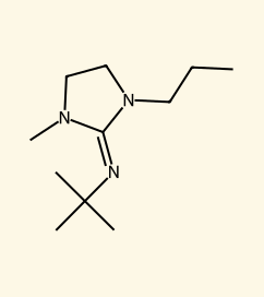 CCCN1CCN(C)C1=NC(C)(C)C